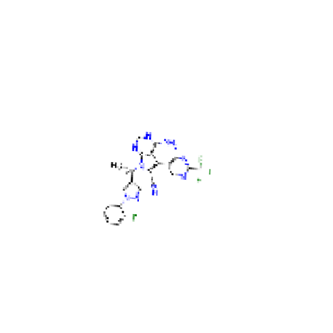 C[C@@H](c1cnn(-c2ccccc2F)c1)n1c(C#N)c(-c2cnc(C(F)(F)F)nc2)c2c(N)ncnc21